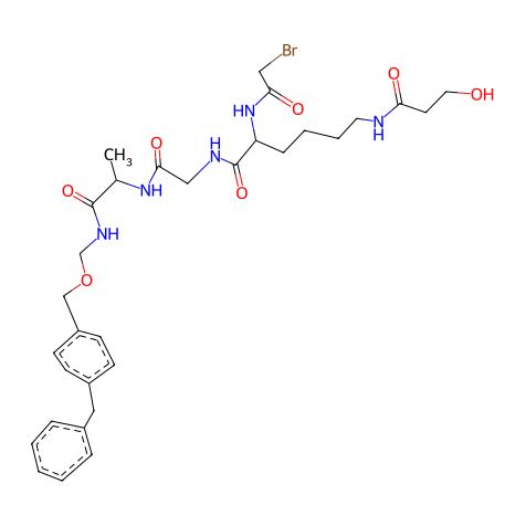 CC(NC(=O)CNC(=O)C(CCCCNC(=O)CCO)NC(=O)CBr)C(=O)NCOCc1ccc(Cc2ccccc2)cc1